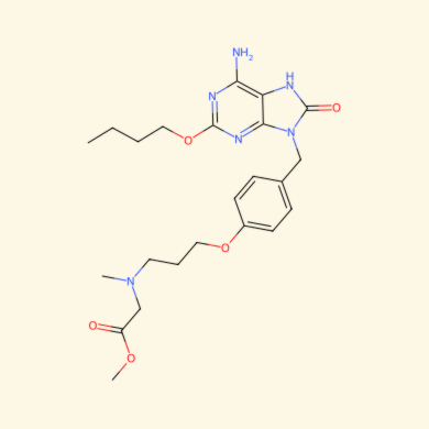 CCCCOc1nc(N)c2[nH]c(=O)n(Cc3ccc(OCCCN(C)CC(=O)OC)cc3)c2n1